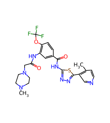 Cc1ccncc1-c1nnc(NC(=O)c2ccc(OC(F)(F)F)c(NC(=O)CN3CCN(C)CC3)c2)s1